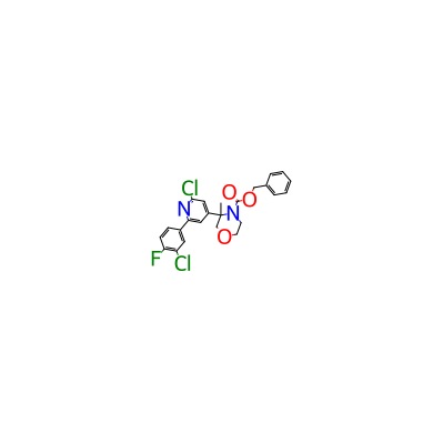 CC1(c2cc(Cl)nc(-c3ccc(F)c(Cl)c3)c2)COCCN1C(=O)OCc1ccccc1